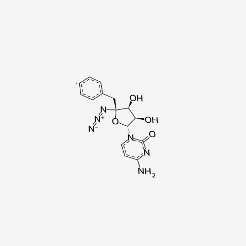 [N-]=[N+]=N[C@@]1(Cc2cc[c]cc2)O[C@@H](n2ccc(N)nc2=O)[C@H](O)[C@@H]1O